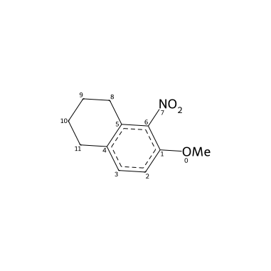 COc1ccc2c(c1[N+](=O)[O-])CCCC2